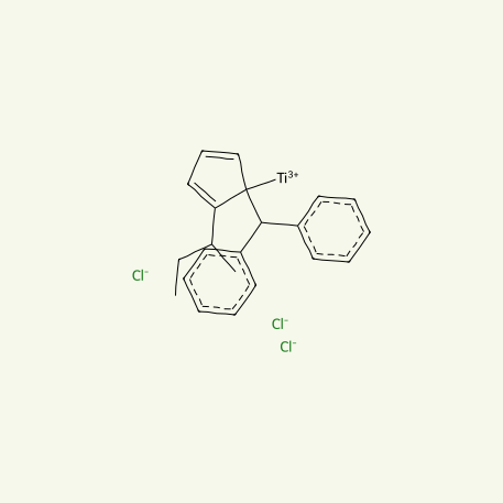 CCC(C)C1=CC=C[C]1([Ti+3])C(c1ccccc1)c1ccccc1.[Cl-].[Cl-].[Cl-]